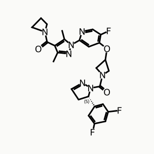 Cc1nn(-c2cc(OC3CN(C(=O)N4N=CC[C@H]4c4cc(F)cc(F)c4)C3)c(F)cn2)c(C)c1C(=O)N1CCC1